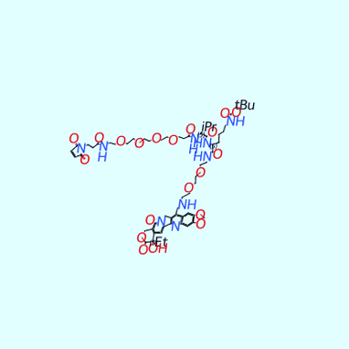 CC[C@@]1(O)C(=O)OCc2c1cc1n(c2=O)Cc2c-1nc1cc3c(cc1c2CNCCOCCOCCNC(=O)[C@H](CCCCNC(=O)OC(C)(C)C)NC(=O)[C@@H](NC(=O)CCOCCOCCOCCOCCNC(=O)CCN1C(=O)C=CC1=O)C(C)C)OCO3